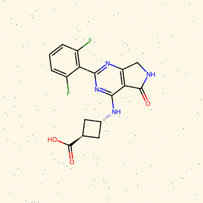 O=C1NCc2nc(-c3c(F)cccc3F)nc(N[C@H]3C[C@H](C(=O)O)C3)c21